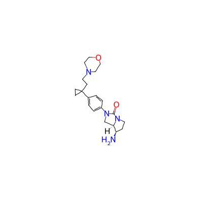 N[C@@H]1CCN2C(=O)N(c3ccc(C4(CCN5CCOCC5)CC4)cc3)C[C@H]12